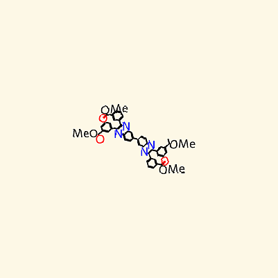 COC(=O)c1cccc(-c2nc3ccc(-c4ccc5nc(-c6cccc(C(C)OC)c6)c(-c6cccc(C(=O)OC)c6)nc5c4)cc3nc2-c2cccc(C(=O)OC)c2)c1